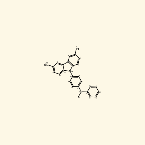 CC(C)c1ccc2c(c1)c1cc(C(C)(C)C)ccc1n2-c1ccc(N(C)c2ccccc2)cc1